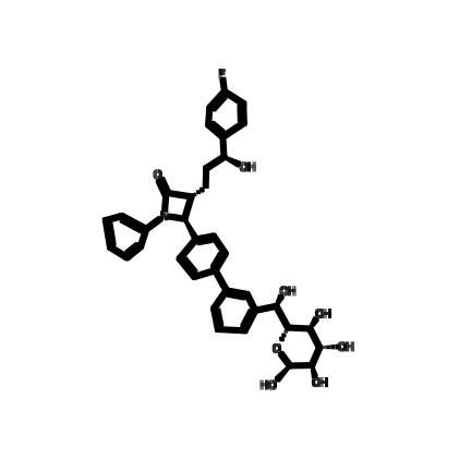 O=C1[C@H](CC[C@H](O)c2ccc(F)cc2)[C@@H](c2ccc(-c3cccc([C@@H](O)[C@H]4O[C@H](O)[C@H](O)[C@@H](O)[C@@H]4O)c3)cc2)N1c1ccccc1